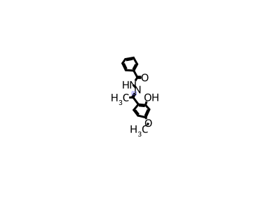 COc1ccc(/C(C)=N/NC(=O)c2ccccc2)c(O)c1